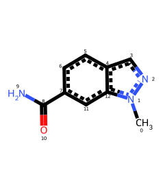 Cn1ncc2ccc(C(N)=O)cc21